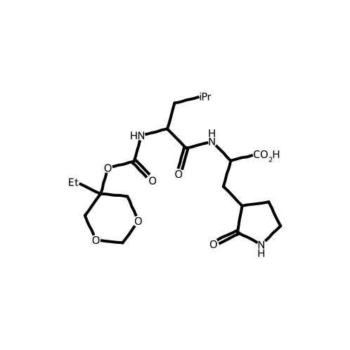 CCC1(OC(=O)NC(CC(C)C)C(=O)NC(CC2CCNC2=O)C(=O)O)COCOC1